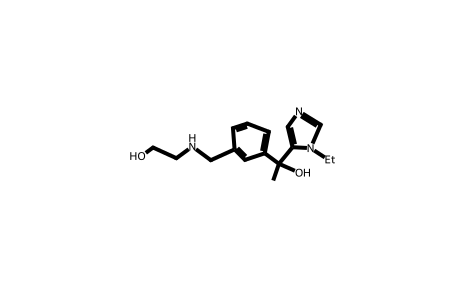 CCn1cncc1C(C)(O)c1cccc(CNCCO)c1